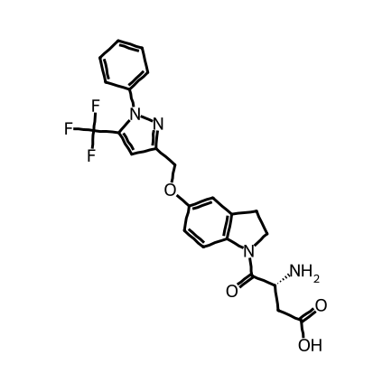 N[C@H](CC(=O)O)C(=O)N1CCc2cc(OCc3cc(C(F)(F)F)n(-c4ccccc4)n3)ccc21